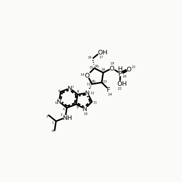 CC(C)Nc1ncnc2c1ncn2[C@@H]1O[C@H](CO)C(O[PH](=O)O)C1F